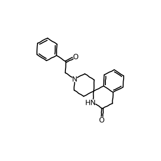 O=C1Cc2ccccc2C2(CCN(CC(=O)c3ccccc3)CC2)N1